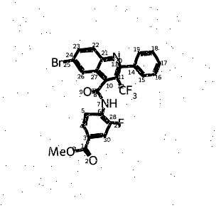 COC(=O)c1ccc(NC(=O)c2c(C(F)(F)F)c(-c3ccccc3)nc3ccc(Br)cc23)c(F)c1